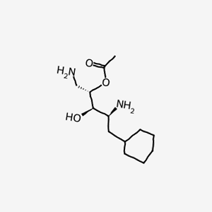 CC(=O)O[C@@H](CN)[C@H](O)[C@@H](N)CC1CCCCC1